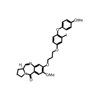 COc1ccc(Oc2ccc(OCCCOc3cc4c(cc3OC)C(=O)N3CCC[C@H]3C=N4)cc2I)cc1